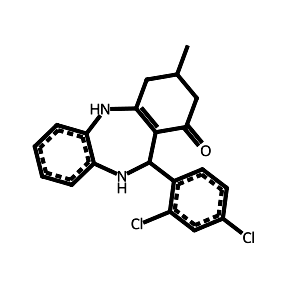 CC1CC(=O)C2=C(C1)Nc1ccccc1NC2c1ccc(Cl)cc1Cl